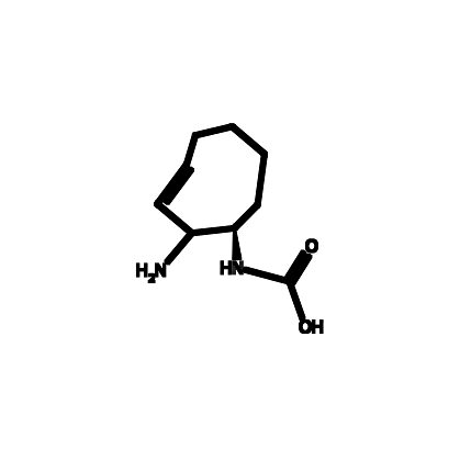 NC1/C=C/CCCC[C@H]1NC(=O)O